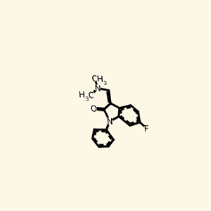 CN(C)C=C1C(=O)N(c2ccccc2)c2cc(F)ccc21